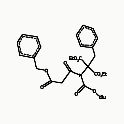 CCOC(=O)C(Cc1ccccc1)(C(=O)OCC)N(C(=O)CC(=O)OCc1ccccc1)C(=O)OC(C)(C)C